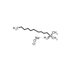 CCCCCCCCCC[N+](C)(C)C.[Cl-].[Cl-].[Na+]